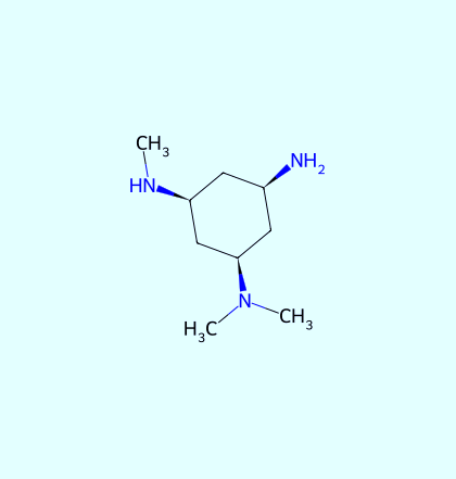 CN[C@H]1C[C@@H](N)C[C@@H](N(C)C)C1